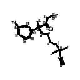 C#CC(C)(C)CCCCC(C)(C(=O)CBr)c1cccc(I)c1